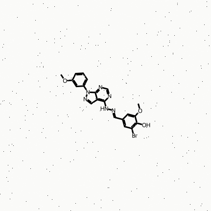 COc1cccc(-n2ncc3c(N/N=C/c4cc(Br)c(O)c(OC)c4)ncnc32)c1